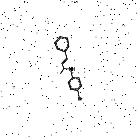 CC(C=Cc1ccccc1)Nc1ccc(Br)cc1